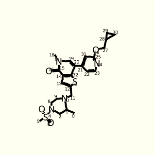 CC1CN(S(C)(=O)=O)CCN1Cc1cc2c(=O)n(C)cc(-c3ccnc(OCC4CC4)c3)c2s1